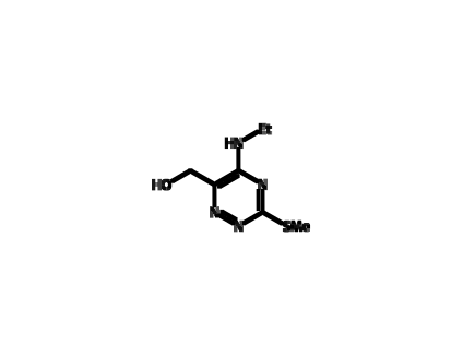 CCNc1nc(SC)nnc1CO